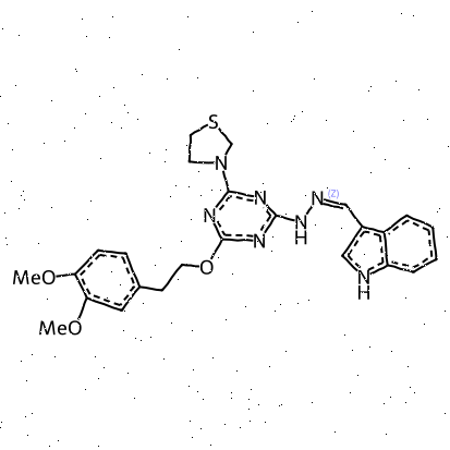 COc1ccc(CCOc2nc(N/N=C\c3c[nH]c4ccccc34)nc(N3CCSC3)n2)cc1OC